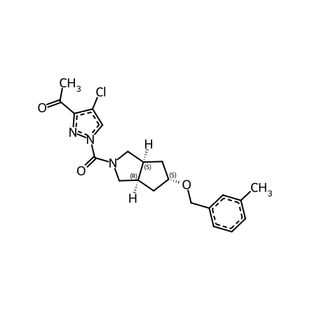 CC(=O)c1nn(C(=O)N2C[C@H]3C[C@H](OCc4cccc(C)c4)C[C@H]3C2)cc1Cl